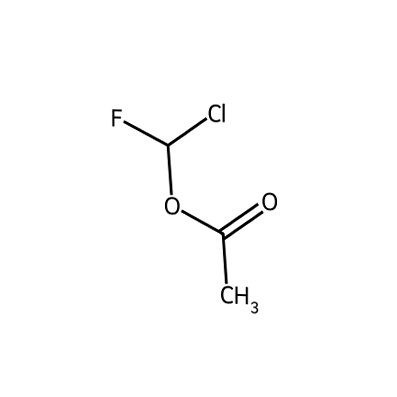 CC(=O)OC(F)Cl